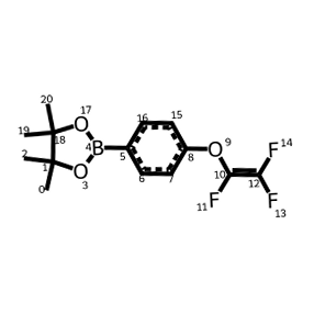 CC1(C)OB(c2ccc(OC(F)=C(F)F)cc2)OC1(C)C